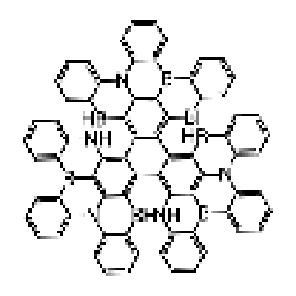 B1c2ccccc2B2c3ccccc3N3c4ccccc4Bc4c3c2c1c1c2c3c5c6c(c2c2c7c8c9c(c2c41)Nc1ccccc1B9c1ccccc1N8c1ccccc1B7)Nc1ccccc1B6c1ccccc1N5c1ccccc1B3